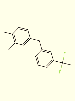 Cc1ccc(Cc2cccc(C(C)(F)F)c2)cc1C